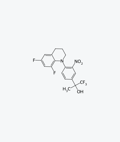 CC(O)(c1ccc(N2CCCc3cc(F)cc(F)c32)c([N+](=O)[O-])c1)C(F)(F)F